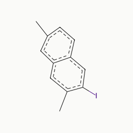 Cc1ccc2cc(I)c(C)cc2c1